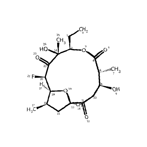 CC[C@H]1OC(=O)[C@H](C)[C@@H](O)CC(=O)[C@@]2(C)C[C@@H](C)[C@H](O2)[C@@H](F)C(=O)[C@]1(C)O